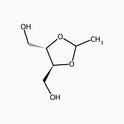 CC1O[C@@H](CO)[C@H](CO)O1